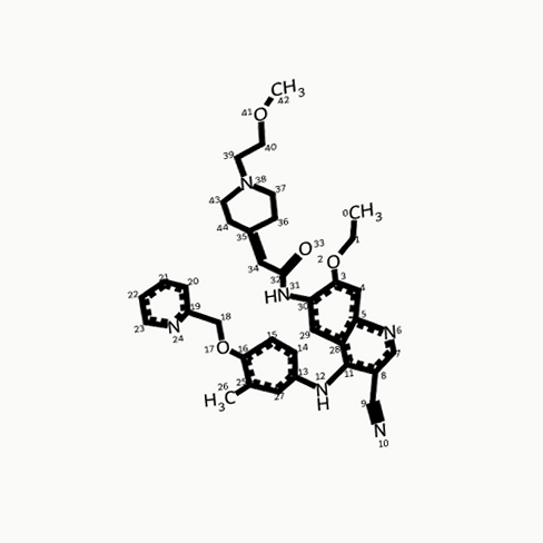 CCOc1cc2ncc(C#N)c(Nc3ccc(OCc4ccccn4)c(C)c3)c2cc1NC(=O)C=C1CCN(CCOC)CC1